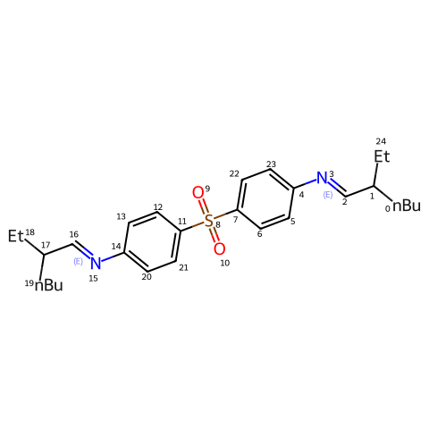 CCCCC(/C=N/c1ccc(S(=O)(=O)c2ccc(/N=C/C(CC)CCCC)cc2)cc1)CC